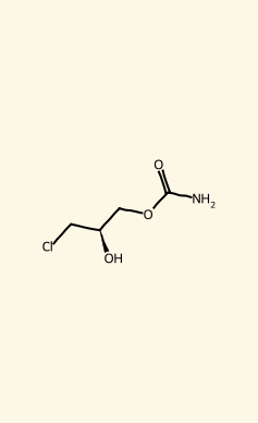 NC(=O)OC[C@@H](O)CCl